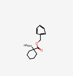 CCCCCC1(C(=O)OCc2ccccc2)CCCCC1